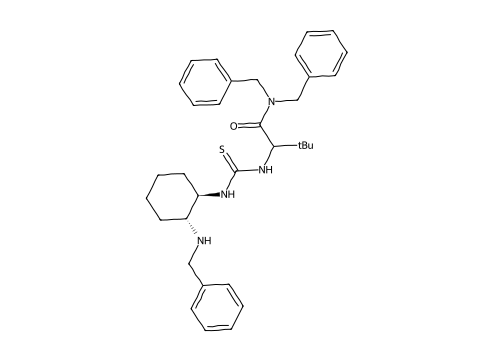 CC(C)(C)C(NC(=S)N[C@@H]1CCCC[C@H]1NCc1ccccc1)C(=O)N(Cc1ccccc1)Cc1ccccc1